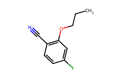 CCCOc1cc(F)ccc1C#N